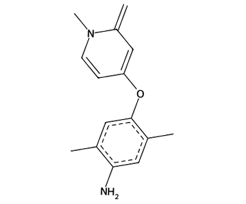 C=C1C=C(Oc2cc(C)c(N)cc2C)C=CN1C